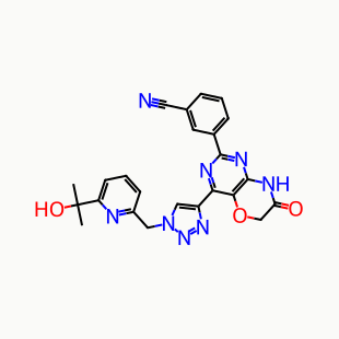 CC(C)(O)c1cccc(Cn2cc(-c3nc(-c4cccc(C#N)c4)nc4c3OCC(=O)N4)nn2)n1